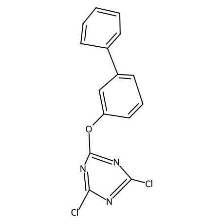 Clc1nc(Cl)nc(Oc2cccc(-c3ccccc3)c2)n1